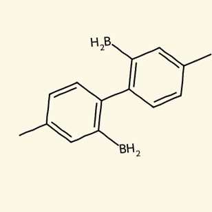 Bc1cc(C)ccc1-c1ccc(C)cc1B